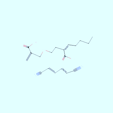 C=C(COCCC(=CCCCC)C(=O)O)C(=O)O.N#CC=CC=CC#N